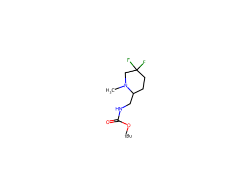 CN1CC(F)(F)CCC1CNC(=O)OC(C)(C)C